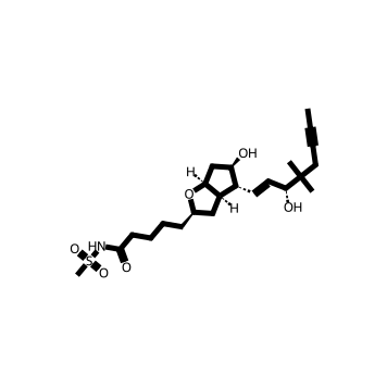 CC#CCC(C)(C)[C@H](O)/C=C/[C@@H]1[C@H]2C[C@@H](CCCCC(=O)NS(C)(=O)=O)O[C@H]2C[C@H]1O